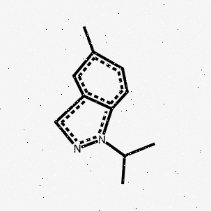 Cc1ccc2c(cnn2C(C)C)c1